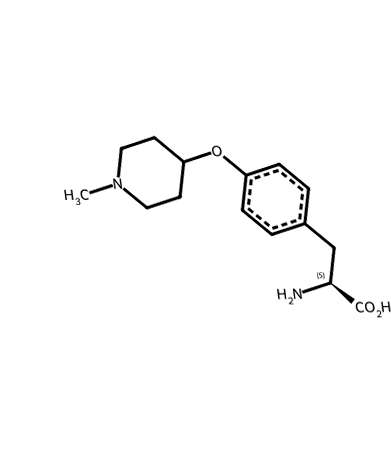 CN1CCC(Oc2ccc(C[C@H](N)C(=O)O)cc2)CC1